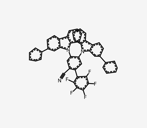 N#Cc1cc(-n2c3ccccc3c3ccc(-c4ccccc4)cc32)c(-n2c3ccccc3c3ccc(-c4ccccc4)cc32)cc1-c1c(F)c(F)c(F)c(F)c1F